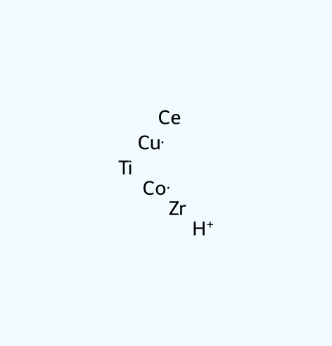 [Ce].[Co].[Cu].[H+].[Ti].[Zr]